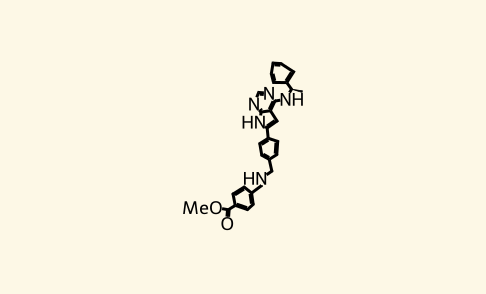 COC(=O)c1ccc(CNCc2ccc(-c3cc4c(N[C@H](C)c5ccccc5)ncnc4[nH]3)cc2)cc1